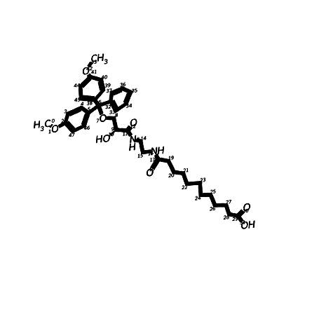 COc1ccc(C(OC[C@H](O)C(=O)NCCNC(=O)CCCCCCCCCCC(=O)O)(c2ccccc2)c2ccc(OC)cc2)cc1